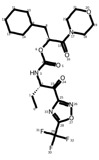 CC[C@H](NC(=O)O[C@@H](CC1CCCCC1)C(=O)N1CCOCC1)C(=O)c1noc(C(F)(F)F)n1